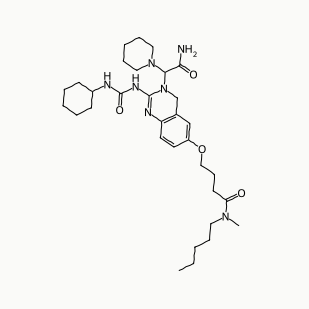 CCCCCN(C)C(=O)CCCOc1ccc2c(c1)CN(C(C(N)=O)N1CCCCC1)C(NC(=O)NC1CCCCC1)=N2